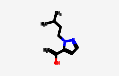 C=C(O)c1ccnn1CCC(C)C